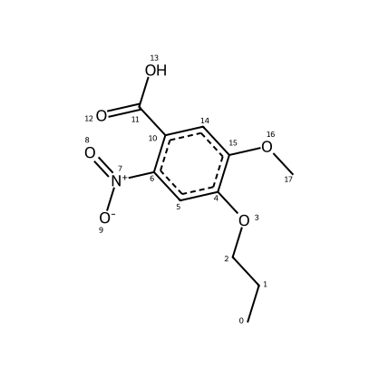 CCCOc1cc([N+](=O)[O-])c(C(=O)O)cc1OC